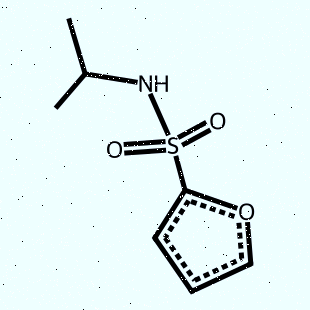 CC(C)NS(=O)(=O)c1ccco1